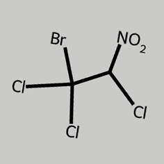 O=[N+]([O-])C(Cl)C(Cl)(Cl)Br